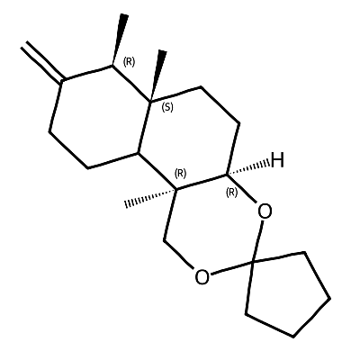 C=C1CCC2[C@]3(C)COC4(CCCC4)O[C@@H]3CC[C@@]2(C)[C@@H]1C